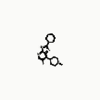 CN1CCC(c2c(F)cnc3[nH]c(C4CCCCC4)nc23)CC1